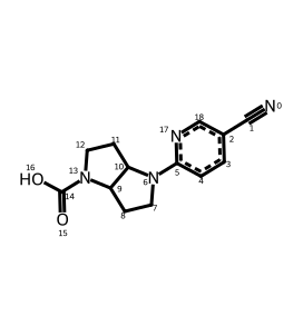 N#Cc1ccc(N2CCC3C2CCN3C(=O)O)nc1